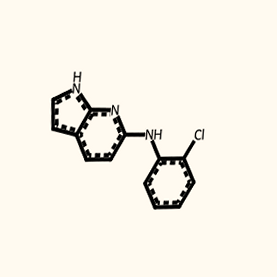 Clc1ccccc1Nc1ccc2cc[nH]c2n1